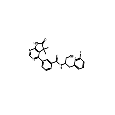 CC1(C)C(=O)Nc2ncnc(-c3cccc(C(=O)NC(CN)Cc4cccc(F)c4)c3)c21